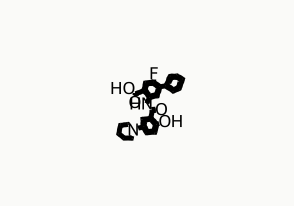 O=C(Nc1cc(-c2ccccc2)c(F)cc1C(=O)O)c1cc(N2CCCCC2)ccc1O